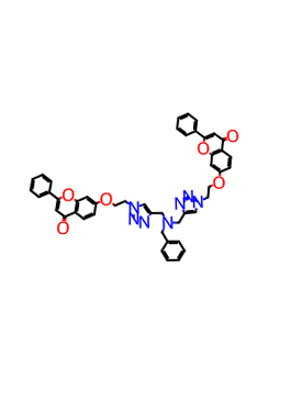 O=c1cc(-c2ccccc2)oc2cc(OCCn3cc(CN(Cc4ccccc4)Cc4cn(CCOc5ccc6c(=O)cc(-c7ccccc7)oc6c5)nn4)nn3)ccc12